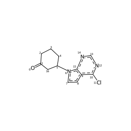 O=C1CCCC(n2ccc3c(Cl)ncnc32)C1